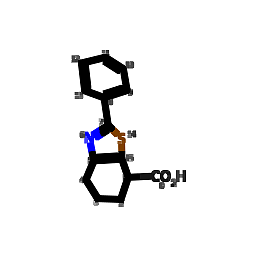 O=C(O)C1CCCc2nc(-c3ccccc3)sc21